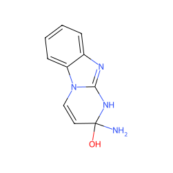 NC1(O)C=Cn2c(nc3ccccc32)N1